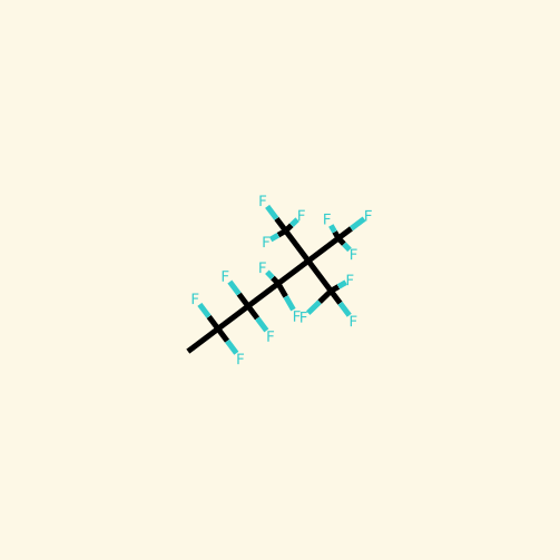 CC(F)(F)C(F)(F)C(F)(F)C(C(F)(F)F)(C(F)(F)F)C(F)(F)F